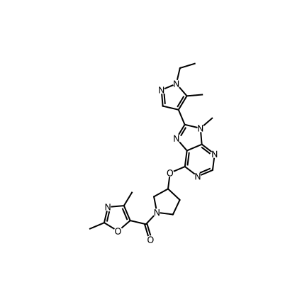 CCn1ncc(-c2nc3c(OC4CCN(C(=O)c5oc(C)nc5C)C4)ncnc3n2C)c1C